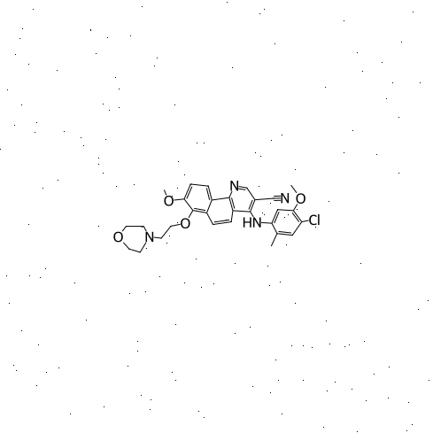 COc1cc(Nc2c(C#N)cnc3c2ccc2c(OCCN4CCOCC4)c(OC)ccc23)c(C)cc1Cl